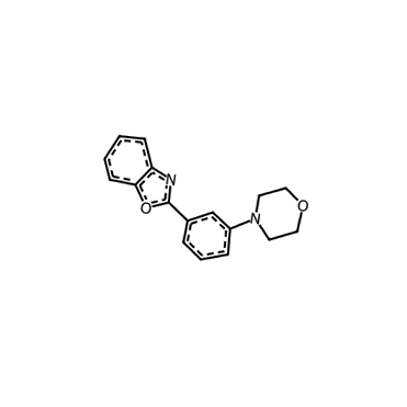 c1cc(-c2nc3ccccc3o2)cc(N2CCOCC2)c1